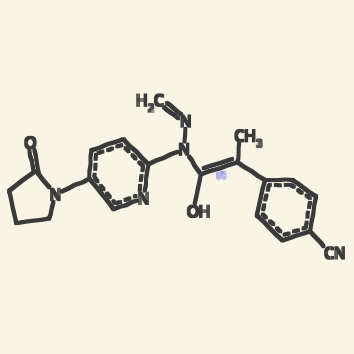 C=NN(/C(O)=C(\C)c1ccc(C#N)cc1)c1ccc(N2CCCC2=O)cn1